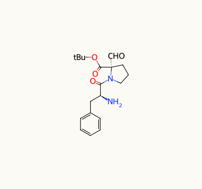 CC(C)(C)OC(=O)[C@@]1(C=O)CCCN1C(=O)[C@@H](N)Cc1ccccc1